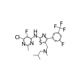 Cc1nc(Cl)c(F)c(Nc2nc(-c3cc(F)cc(C(F)(F)F)c3)c(CN(C)CC(C)C)s2)n1